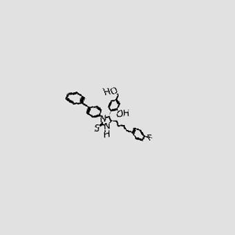 OCc1ccc([C@@H]2[C@@H](CCCCc3ccc(F)cc3)NC(=S)N2c2ccc(-c3ccccc3)cc2)c(O)c1